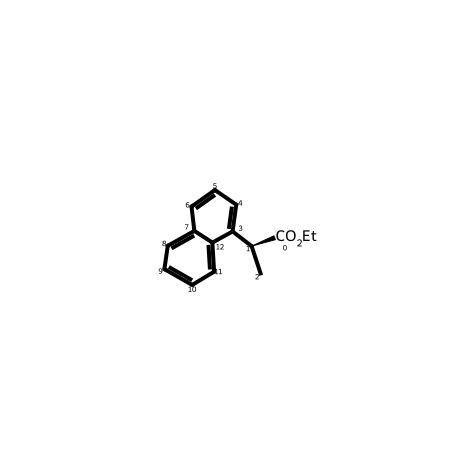 CCOC(=O)[C@@H](C)c1cccc2ccccc12